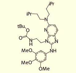 COc1cc(Nc2nc3ccc(N(CCC(C)C)CCC(C)C)nc3n2CCNC(=O)OC(C)(C)C)cc(OC)c1OC